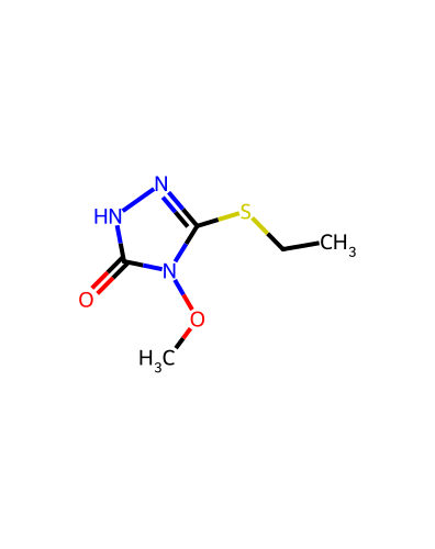 CCSc1n[nH]c(=O)n1OC